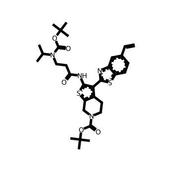 C=Cc1ccc2sc(-c3c(NC(=O)CCN(C(=O)OC(C)(C)C)C(C)C)sc4c3CCN(C(=O)OC(C)(C)C)C4)nc2c1